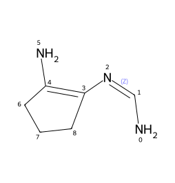 N/C=N\C1=C(N)CCC1